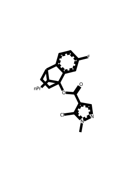 CCCC1C2CCC1(OC(=O)c1cnn(C)c1Cl)c1cc(F)ccc12